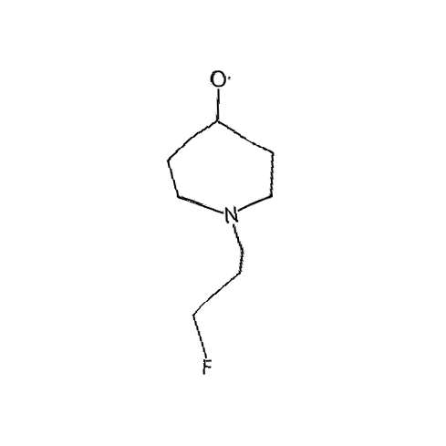 [O]C1CCN(CCF)CC1